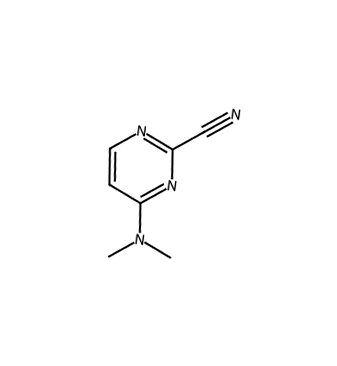 CN(C)c1ccnc(C#N)n1